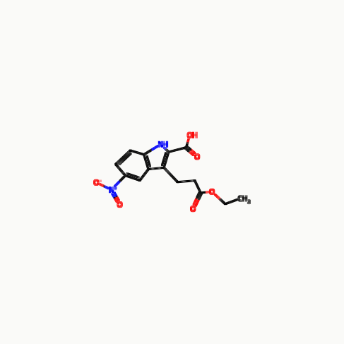 CCOC(=O)CCc1c(C(=O)O)[nH]c2ccc([N+](=O)[O-])cc12